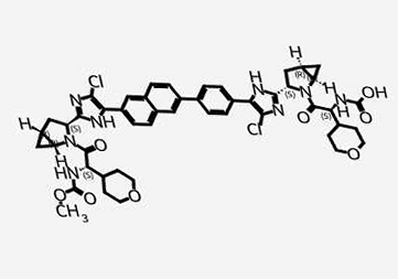 COC(=O)N[C@H](C(=O)N1[C@@H]2C[C@@H]2C[C@H]1c1nc(Cl)c(-c2ccc3cc(-c4ccc(-c5[nH]c([C@@H]6C[C@H]7C[C@H]7N6C(=O)[C@@H](NC(=O)O)C6CCOCC6)nc5Cl)cc4)ccc3c2)[nH]1)C1CCOCC1